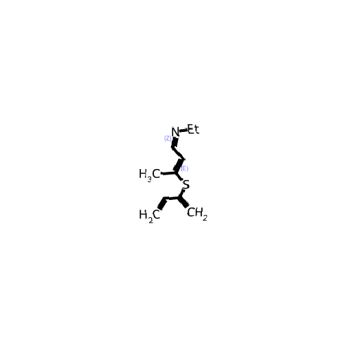 C=CC(=C)S/C(C)=C/C=N\CC